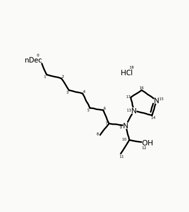 CCCCCCCCCCCCCCCCC(C)N(C(C)O)N1C=NCC1.Cl